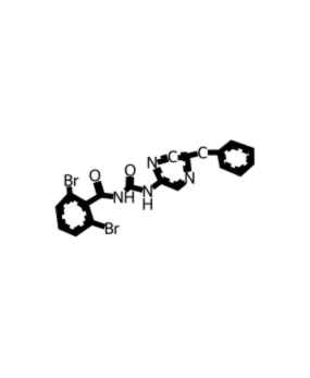 O=C(NC(=O)c1c(Br)cccc1Br)Nc1cnc(Cc2ccccc2)cn1